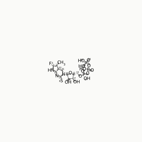 Cc1c(F)[nH]c2nc(=S)n([C@@H]3O[C@H](COP(=O)(O)OP(=O)(O)OP(=O)(O)O)C(O)[C@@H]3O)cc12